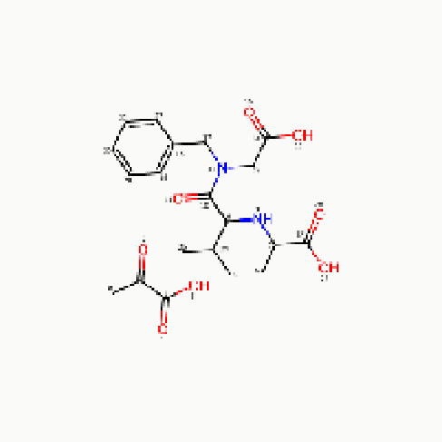 CC(=O)C(=O)O.CC(N[C@H](C(=O)N(CC(=O)O)Cc1ccccc1)C(C)C)C(=O)O